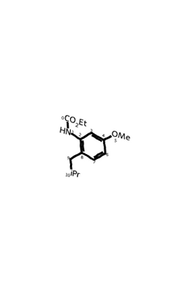 CCOC(=O)Nc1cc(OC)ccc1CC(C)C